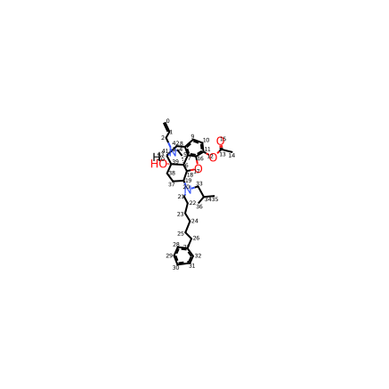 C=CCN1CC[C@]23c4c5ccc(OC(C)=O)c4OC2C(N(CCCCCCc2ccccc2)CC(C)C)CC[C@@]3(O)[C@H]1C5